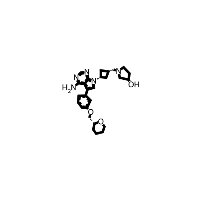 Nc1ncnc2c1c(-c1cccc(OC[C@H]3CCCCO3)c1)cn2[C@H]1C[C@@H](CN2CCC(O)C2)C1